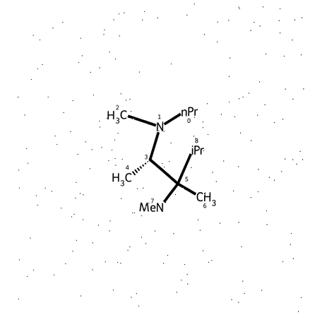 CCCN(C)[C@@H](C)C(C)(NC)C(C)C